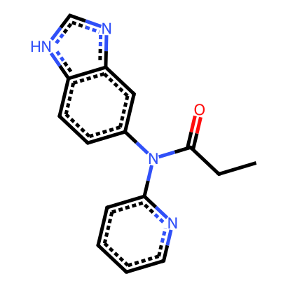 CCC(=O)N(c1ccc2[nH]cnc2c1)c1ccccn1